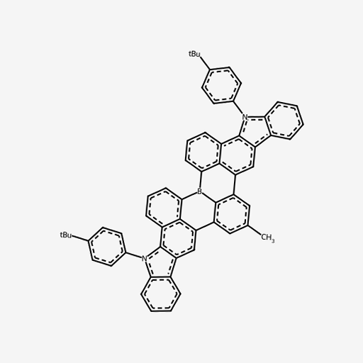 Cc1cc2c3c(c1)-c1cc4c5ccccc5n(-c5ccc(C(C)(C)C)cc5)c4c4cccc(c14)B3c1cccc3c1c-2cc1c2ccccc2n(-c2ccc(C(C)(C)C)cc2)c31